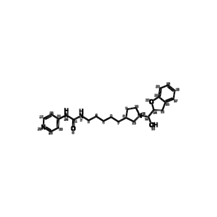 O=C(NCCCCCC1CCN(C(O)C2Cc3ccccc3O2)C1)Nc1ccncc1